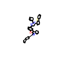 c1ccc(-c2nc(-c3ccc4oc5c(-c6ccc7ccccc7c6)nc6ccccc6c5c4c3)cc(-c3cccc4c3sc3ccccc34)n2)cc1